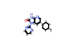 C[C@H]1CC[C@H](c2cnc3[nH]c(=O)n(-c4ncccn4)c3c2)CC1